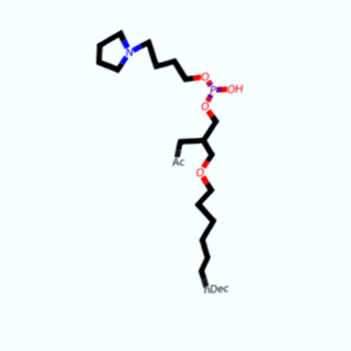 CCCCCCCCCCCCCCCCOCC(COP(O)OCCCCN1CCCC1)CC(C)=O